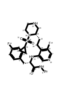 CC(C)NC(=O)[C@H](Cc1ccc(F)cc1)Nc1cncc(F)c1CC[C@H]1CNCCN1S(=O)(=O)C1CC1